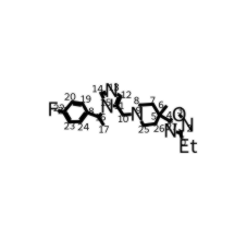 CCc1noc(C2(C)CCN(Cc3cncn3C(C)c3ccc(F)cc3)CC2)n1